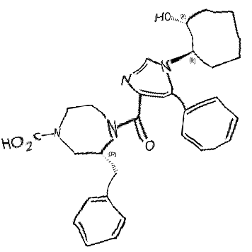 O=C(O)N1CCN(C(=O)c2ncn([C@@H]3CCCCC[C@H]3O)c2-c2ccccc2)[C@H](Cc2ccccc2)C1